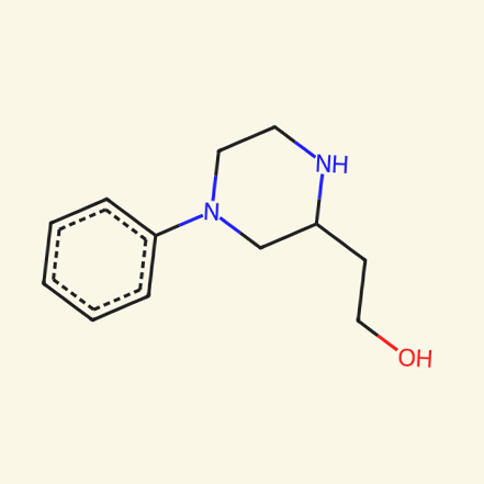 OCCC1CN(c2ccccc2)CCN1